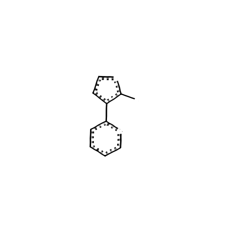 [S]c1sccc1-c1ccccn1